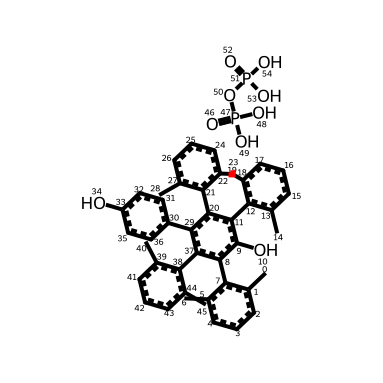 Cc1cccc(C)c1-c1c(O)c(-c2c(C)cccc2C)c(-c2c(C)cccc2C)c(-c2ccc(O)cc2)c1-c1c(C)cccc1C.O=P(O)(O)OP(=O)(O)O